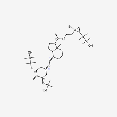 C=C1[C@H](CC(C)(C)[Si](C)(C)O)C/C(=C\C=C2/CCCC3(C)C2CCC3[C@@H](C)OCCC2(CC)CC2C(C)(C)[Si](C)(C)O)C[C@H]1O[Si](C)(C)C(C)(C)C